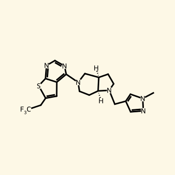 Cn1cc(CN2CC[C@@H]3CN(c4ncnc5sc(CC(F)(F)F)cc45)CC[C@@H]32)cn1